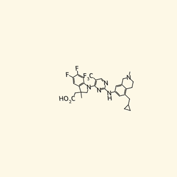 CN1CCc2c(CC3CC3)cc(Nc3ncc(C(F)(F)F)c(N4CC(C)(CC(=O)O)c5cc(F)c(F)cc54)n3)cc2C1